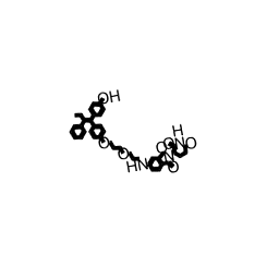 CCC(=C(c1ccc(O)cc1)c1ccc(OCCCOCCCNc2ccc3c(c2)C(=O)N(C2CCC(=O)NC2=O)C3=O)cc1)c1ccccc1